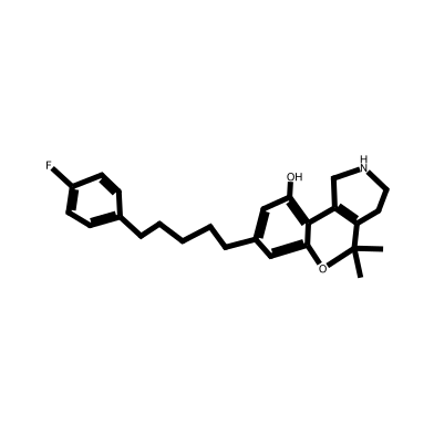 CC1(C)Oc2cc(CCCCCc3ccc(F)cc3)cc(O)c2C2=C1CCNC2